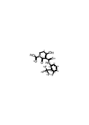 O=C(O)N1CCC(O)=C(C(=S)Nc2cccc(F)c2C(F)(F)F)C1=O